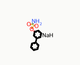 NS(=O)(=O)Oc1cccc(-c2ccccc2)c1.[NaH]